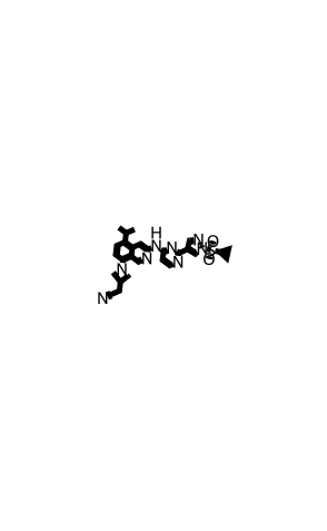 CC(C)c1ccc(N2CC(CC#N)C2)c2cnc(Nc3ccnc(-c4cnn(S(=O)(=O)C5CC5)c4)n3)cc12